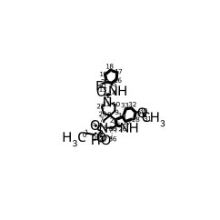 CCCS(=O)(=O)N1CC2(CCN(C(=O)Nc3ccccc3F)CC2)c2c([nH]c3cc(OC)ccc23)[C@@H]1CO